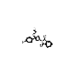 O=COC1(c2ccc(F)cc2)CC(N2C(=O)c3ccccc3C2=O)C1